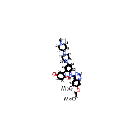 COCCOc1cc2ncnc(Nc3ccc(N4CCN(C5CCN(C)CC5)CC4)cc3C3=CC(=O)C=CC3=O)c2cc1OC